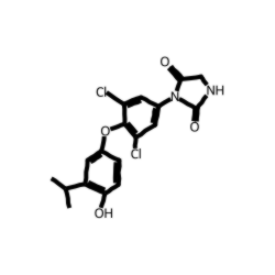 CC(C)c1cc(Oc2c(Cl)cc(N3C(=O)CNC3=O)cc2Cl)ccc1O